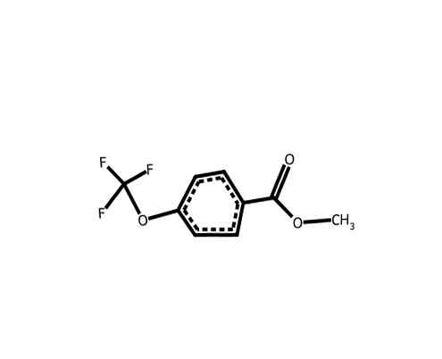 COC(=O)c1ccc(OC(F)(F)F)cc1